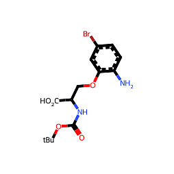 CC(C)(C)OC(=O)NC(COc1cc(Br)ccc1N)C(=O)O